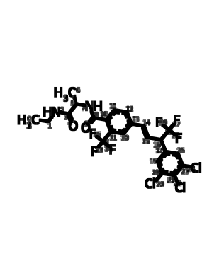 CCNC(=O)[C@@H](C)NC(=O)c1ccc(/C=C/C(c2cc(Cl)c(Cl)c(Cl)c2)C(F)(F)F)cc1C(F)(F)F